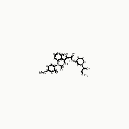 C=CC(=O)N1C=C(NC(=O)c2sc3nccc4c3c2NC(=O)N4c2ccc(OC)cc2C)CCC1